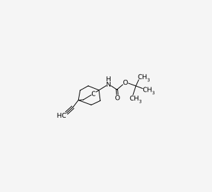 C#CC12CCC(NC(=O)OC(C)(C)C)(CC1)CC2